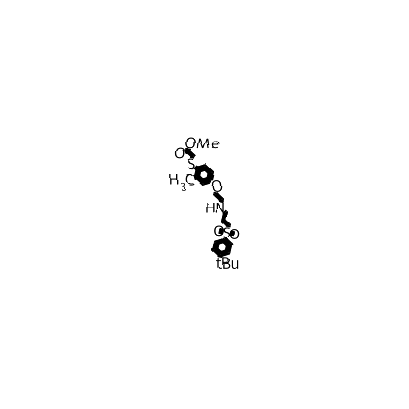 COC(=O)CSc1ccc(OCCNCCCS(=O)(=O)c2ccc(C(C)(C)C)cc2)cc1C